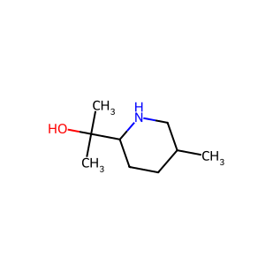 CC1CCC(C(C)(C)O)NC1